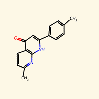 Cc1ccc(-c2cc(=O)c3ccc(C)nc3[nH]2)cc1